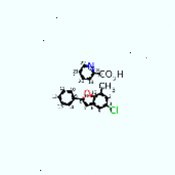 Cc1cc(Cl)cc2cc(-c3ccccc3)oc12.O=C(O)c1ccccn1